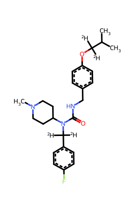 [2H]C([2H])(Oc1ccc(CNC(=O)N(C2CCN(C)CC2)C([2H])([2H])c2ccc(F)cc2)cc1)C(C)C